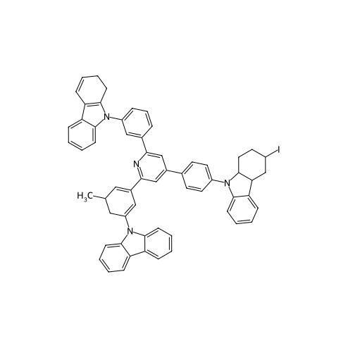 CC1C=C(c2cc(-c3ccc(N4c5ccccc5C5CC(I)CCC54)cc3)cc(-c3cccc(-n4c5c(c6ccccc64)C=CCC5)c3)n2)C=C(n2c3ccccc3c3ccccc32)C1